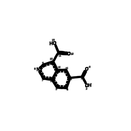 O=C(O)c1ccc2cncc(C(=O)O)c2c1